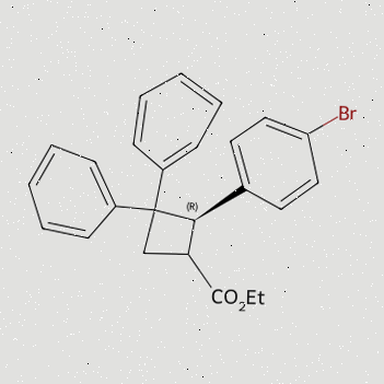 CCOC(=O)C1CC(c2ccccc2)(c2ccccc2)[C@H]1c1ccc(Br)cc1